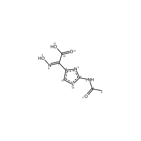 CC(=O)Nc1nc(C(=NO)C(=O)O)cs1